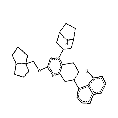 Clc1cccc2cccc(N3CCc4c(nc(OCC56CCCN5CCC6)nc4C4CC5CCC(C4)N5)C3)c12